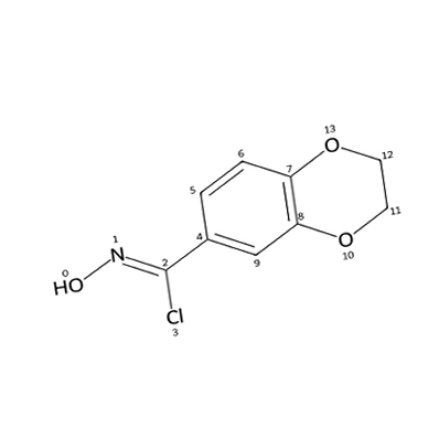 ON=C(Cl)c1ccc2c(c1)OCCO2